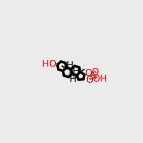 C[C@]12CCC(O)CC1CC[C@@H]1[C@@H]2CC[C@]2(C)C(OS(=O)(=O)O)CC[C@@H]12